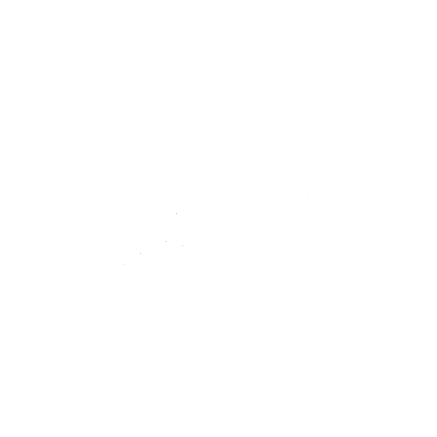 CCC(CC)(c1ccc(OCC(=O)C(C)(C)C)c(C)c1)c1ccc2oc(C(=O)NCC(=O)O)cc2c1